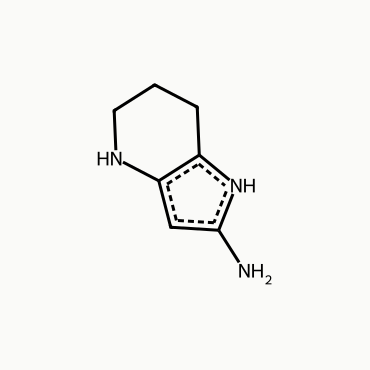 Nc1cc2c([nH]1)CCCN2